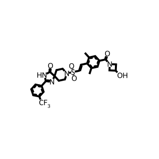 Cc1cc(C(=O)N2CC(O)C2)cc(C)c1C=CS(=O)(=O)N1CCC2(CC1)N=C(c1cccc(C(F)(F)F)c1)NC2=O